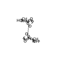 C/C(=N\O)c1ccc(-n2c3ccc(C(=O)CCCCCCCCC(=O)c4ccc5c(c4)c4cc(C(=O)c6cccs6)ccc4n5-c4ccc(/C(C)=N/O)cc4)cc3c3cc(C(=O)c4cccs4)ccc32)cc1